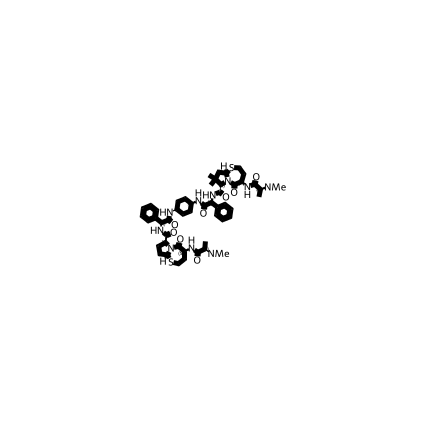 CN[C@@H](C)C(=O)N[C@H]1CCS[C@H]2CC[C@@H](C(=O)N[C@@H](C(=O)N[C@H]3CC[C@H](NC(=O)[C@@H](NC(=O)[C@H]4N5C(=O)[C@H](NC(=O)[C@H](C)NC)CCS[C@H]5CC4(C)C)c4ccccc4)CC3)c3ccccc3)N2C1=O